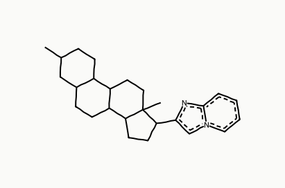 CC1CCC2C(CCC3C2CCC2(C)C(c4cn5ccccc5n4)CCC32)C1